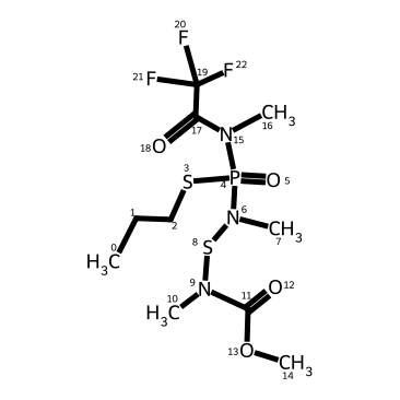 CCCSP(=O)(N(C)SN(C)C(=O)OC)N(C)C(=O)C(F)(F)F